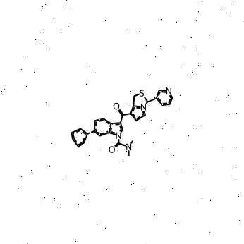 CN(C)C(=O)n1cc(C(=O)c2ccn3c2CSC3c2cccnc2)c2ccc(-c3ccccc3)cc21